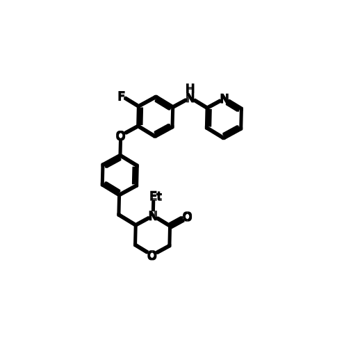 CCN1C(=O)COCC1Cc1ccc(Oc2ccc(Nc3ccccn3)cc2F)cc1